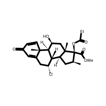 CCC(=O)O[C@@]1(C(=O)OC)[C@@H](C)C[C@H]2[C@H]3[C@H]([C@@H](O)C[C@@]21C)[C@@]1(C)C=CC(=O)C=C1C[C@H]3Cl